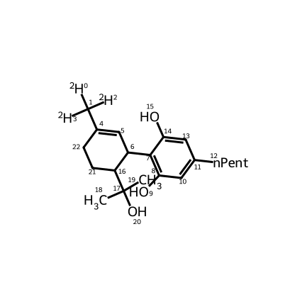 [2H]C([2H])([2H])C1=CC(c2c(O)cc(CCCCC)cc2O)C(C(C)(C)O)CC1